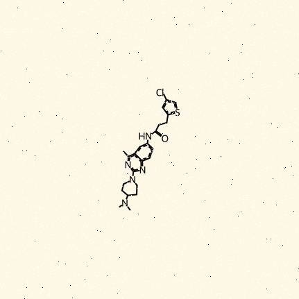 Cc1nc(N2CCC(N(C)C)CC2)nc2ccc(NC(=O)CCc3cc(Cl)cs3)cc12